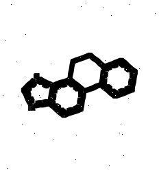 c1ccc2c(c1)CCc1c-2ccc2ncsc12